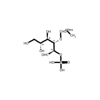 CCCCCCC.O=CO[C@@H]([C@H](O)[C@H](O)CO)[C@H](C=O)OP(=O)(O)O